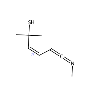 CN=C=C/C=C\C(C)(C)S